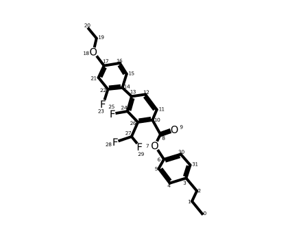 CCCc1ccc(OC(=O)c2ccc(-c3ccc(OCC)cc3F)c(F)c2C(F)F)cc1